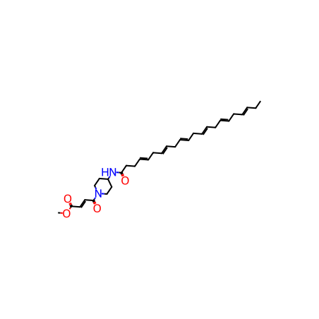 CCC=CCC=CCC=CCC=CCC=CCC=CCCC(=O)NC1CCN(C(=O)C=CC(=O)OC)CC1